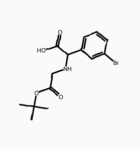 CC(C)(C)OC(=O)CNC(C(=O)O)c1cccc(Br)c1